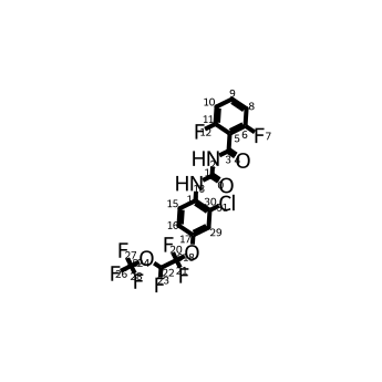 O=C(NC(=O)c1c(F)cccc1F)Nc1ccc(OC(F)(F)C(F)OC(F)(F)F)cc1Cl